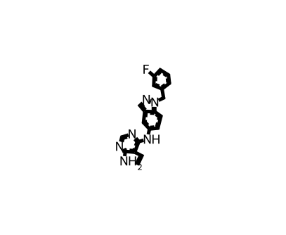 C=Cc1c(N)ncnc1Nc1ccc2c(cnn2Cc2cccc(F)c2)c1